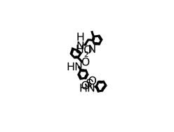 Cc1cccc(N)c1CC(=O)Nc1cccc(C(=O)Nc2ccc(S(=O)(=O)Nc3ccccc3)cc2)c1